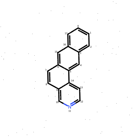 c1ccc2cc3c(ccc4cnccc43)cc2c1